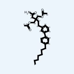 CCCCCCCc1ccc(-c2cccc(CCC(COC(C)=O)(COC(C)=O)CC(N)=O)c2)cc1